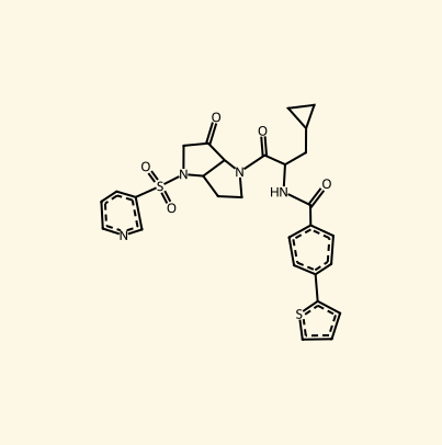 O=C(NC(CC1CC1)C(=O)N1CCC2C1C(=O)CN2S(=O)(=O)c1cccnc1)c1ccc(-c2cccs2)cc1